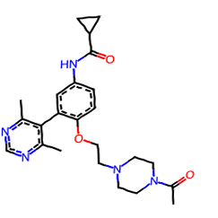 CC(=O)N1CCN(CCOc2ccc(NC(=O)C3CC3)cc2-c2c(C)ncnc2C)CC1